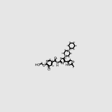 Cc1ncc(-c2nc(NC(=O)c3cnc(OCO)c(Cl)c3)sc2N2CCN(C3CCCCC3)CC2)[nH]1